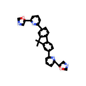 CC1(C)c2cc(-c3cccc(-c4cnco4)n3)ccc2-c2ccc(-c3cccc(-c4cnco4)n3)cc21